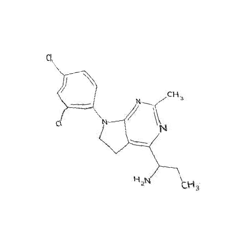 CCC(N)c1nc(C)nc2c1CCN2c1ccc(Cl)cc1Cl